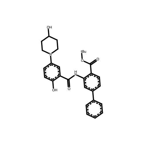 CC(C)(C)OC(=O)c1ccc(-c2ccccc2)cc1NC(=O)c1cc(N2CCC(O)CC2)ccc1O